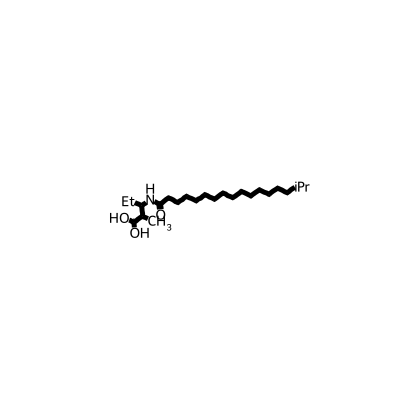 CCC(NC(=O)CCCCCCCCCCCCCCC(C)C)C(C)[C](O)O